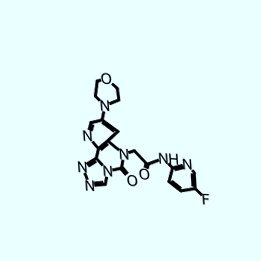 O=C(Cn1c(=O)n2cnnc2c2ncc(N3CCOCC3)cc21)Nc1ccc(F)cn1